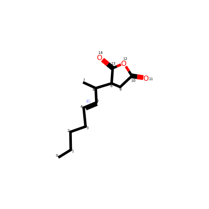 CCCC/C=C/C(C)C1CC(=O)OC1=O